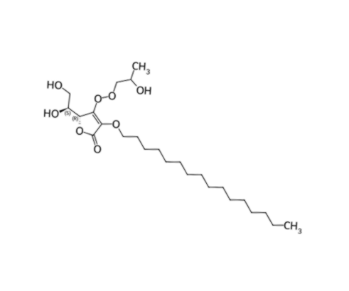 CCCCCCCCCCCCCCCCOC1=C(OOCC(C)O)[C@@H]([C@@H](O)CO)OC1=O